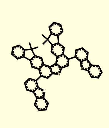 CC1(C)c2ccccc2-c2cc3c(-c4cccc5c4sc4ccccc45)cc4sc5cc(-c6cccc7c6sc6ccccc67)c6cc7c(cc6c5c4c3cc21)C(C)(C)c1ccccc1-7